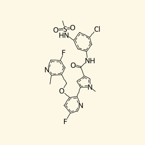 Cc1ncc(F)cc1COc1cc(F)cnc1-c1cc(C(=O)Nc2cc(Cl)cc(NS(C)(=O)=O)c2)cn1C